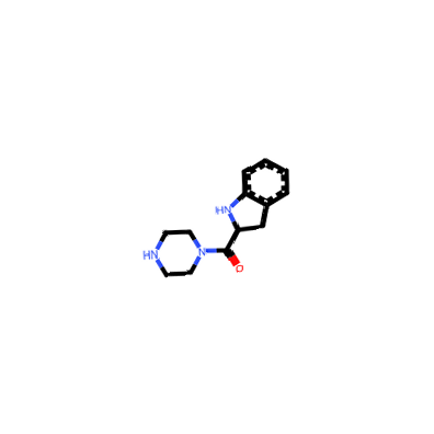 O=C(C1Cc2ccccc2N1)N1CCNCC1